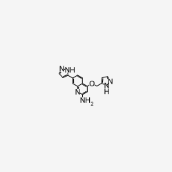 Nc1cc(OCc2ccn[nH]2)c2ccc(-c3ccn[nH]3)cc2n1